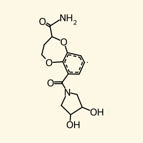 NC(=O)C1CCOc2c(c[c]cc2C(=O)N2CC(O)C(O)C2)O1